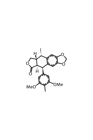 COc1cc([C@@H]2c3cc4c(cc3[C@@H](I)[C@H]3COC(=O)[C@H]23)OCO4)cc(OC)c1C